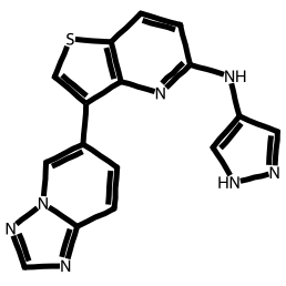 c1nc2ccc(-c3csc4ccc(Nc5cn[nH]c5)nc34)cn2n1